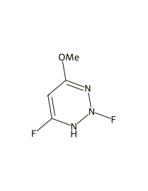 COC1=NN(F)NC(F)=C1